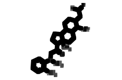 CCCC1C(CC(F)F)CCC2C1CCC1(C)C(C(=O)CN(N)c3ccccc3N)CCC21